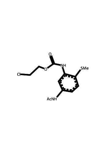 CSc1ccc(NC(C)=O)cc1NC(=O)OCCCl